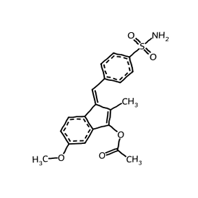 COc1ccc2c(c1)C(OC(C)=O)=C(C)C2=Cc1ccc(S(N)(=O)=O)cc1